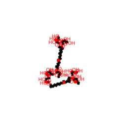 C=C[C@](C)(CC/C=C(\C)CC/C=C/CC/C=C(/C)COC1OC(C)C(OC2OC(COC3OC(C)C(O)C(O)C3OC(=O)/C(C)=C/CC/C(C)=C/CC/C(C)=C/CC[C@@](C)(C=C)OC3OC(CO)C(O)C(O)C3OC3OC(CO)C(O)C(O)C3O)C(O)C(O)C2O)C(O)C1O)OC1OC(CC)C(O)C(O)C1OC1OC(CO)C(O)C(O)C1O